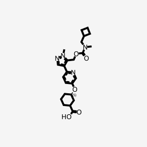 CN(CC1CCC1)C(=O)OCc1c(-c2ccc(O[C@H]3CCCC(C(=O)O)C3)cn2)cnn1C